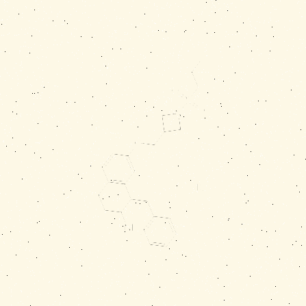 CCCS(=O)(=O)N1CC(COc2ccc3c(c2)C(Cc2ccccc2)C(N)CC3)C1.Cl